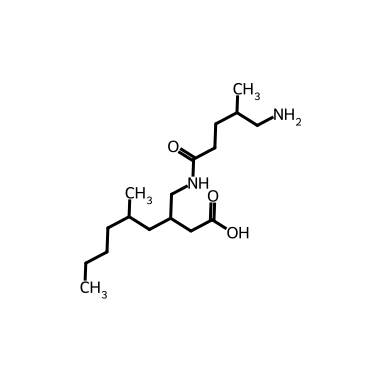 CCCCC(C)CC(CNC(=O)CCC(C)CN)CC(=O)O